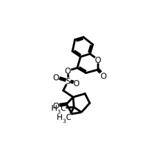 CC1(C)C2CCC1(CS(=O)(=O)Oc1cc(=O)oc3ccccc13)C(=O)C2